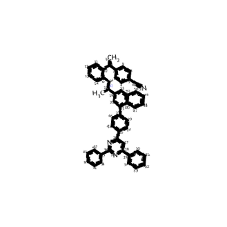 C=C(c1ccc(C#N)cc1)c1ccccc1/C=C(\C)c1cc(-c2ccc(-c3cc(-c4ccccc4)nc(-c4ccccc4)n3)cc2)c2ccccc2c1